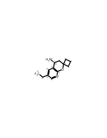 N[C@H]1CC2(CCC2)Oc2ncc(CC(F)(F)F)cc21